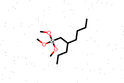 CCCCC(CCC)C[Si](OC)(OC)OC